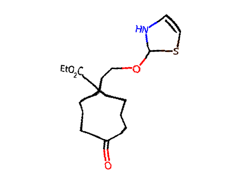 CCOC(=O)C1(COC2NC=CS2)CCC(=O)CC1